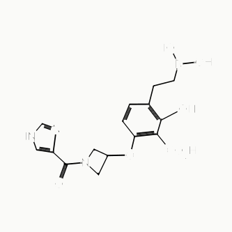 O=C(O)c1c(OC2CN(C(=O)c3c[nH]cn3)C2)ccc(CCB(O)O)c1O